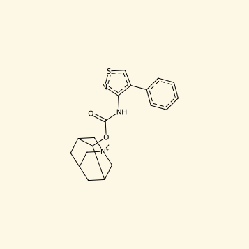 C[N+]12CC3CC(C1)C(OC(=O)Nc1nscc1-c1ccccc1)C(C3)C2